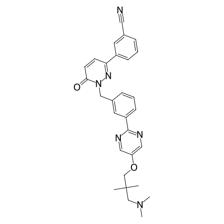 CN(C)CC(C)(C)COc1cnc(-c2cccc(Cn3nc(-c4cccc(C#N)c4)ccc3=O)c2)nc1